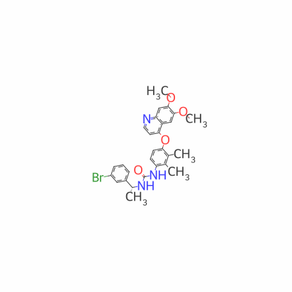 COc1cc2nccc(Oc3ccc(NC(=O)N[C@H](C)c4cccc(Br)c4)c(C)c3C)c2cc1OC